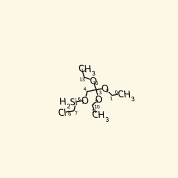 CCOC(CO[SiH2]CCl)(OCC)OCC